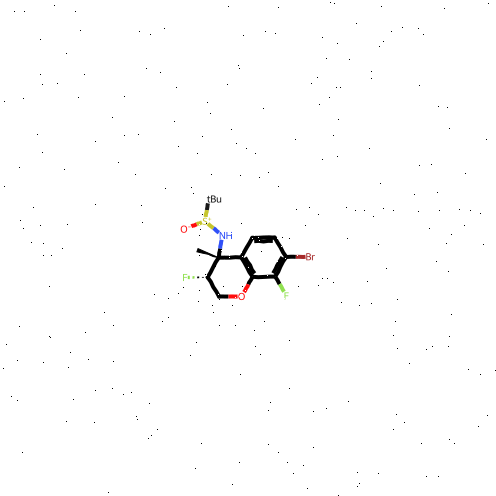 CC(C)(C)[S+]([O-])N[C@]1(C)c2ccc(Br)c(F)c2OC[C@@H]1F